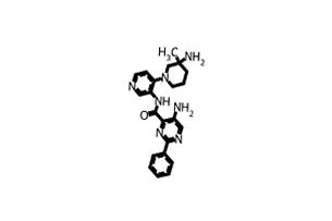 CC1(N)CCCN(c2ccncc2NC(=O)c2nc(-c3ccccc3)ncc2N)C1